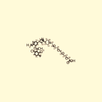 C[C@@H](Oc1cc(-c2cnn(C3CCN(CCOCCOCCOCCOCC(=O)O)CC3)c2)cnc1N)c1c(Cl)ccc(F)c1Cl